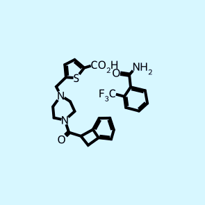 NC(=O)c1ccccc1C(F)(F)F.O=C(O)c1ccc(CN2CCN(C(=O)C3Cc4ccccc43)CC2)s1